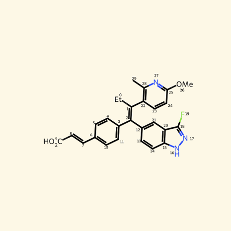 CCC(=C(c1ccc(C=CC(=O)O)cc1)c1ccc2[nH]nc(F)c2c1)c1ccc(OC)nc1C